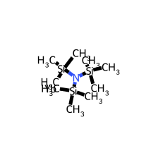 C[Si](C)(C)N([Si](C)(C)C)[Si](C)(C)C.[Yb]